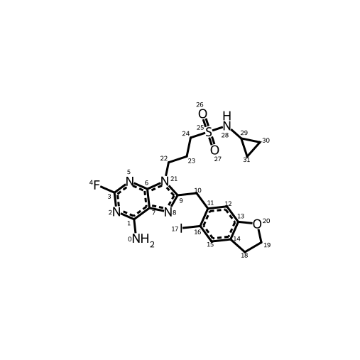 Nc1nc(F)nc2c1nc(Cc1cc3c(cc1I)CCO3)n2CCCS(=O)(=O)NC1CC1